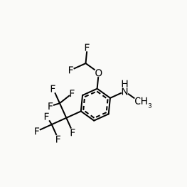 CNc1ccc(C(F)(C(F)(F)F)C(F)(F)F)cc1OC(F)F